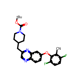 CC(C)(C)OC(=O)N1CCC(Cc2cnc3ccc(Oc4c(F)ccc(F)c4C#N)cc3n2)CC1